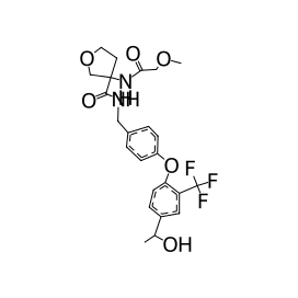 COCC(=O)NC1(C(=O)NCc2ccc(Oc3ccc(C(C)O)cc3C(F)(F)F)cc2)CCOC1